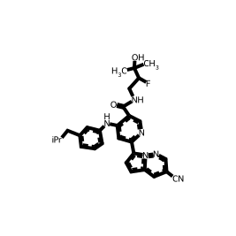 CC(C)Cc1cccc(Nc2cc(-c3ccc4cc(C#N)cnn34)ncc2C(=O)NCC(F)C(C)(C)O)c1